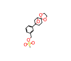 CS(=O)(=O)OCc1cccc(C23CCC4(OCCO4)C(C2)O3)c1